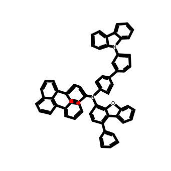 c1ccc(-c2cccc3cccc(-c4ccc(N(c5ccc(-c6cccc(-n7c8ccccc8c8ccccc87)c6)cc5)c5ccc(-c6ccccc6)c6c5oc5ccccc56)cc4)c23)cc1